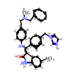 CN(Cc1ccccc1)Cc1ccc(N/C(=C2\C(=O)Nc3ccc([N+](=O)[O-])cc32)c2ccc(Cn3ccnc3)cc2)cc1